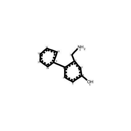 NCc1cc(O)ccc1-c1ccccc1